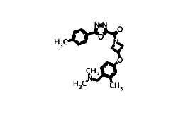 Cc1ccc(-c2nnc(C(=O)N3CC(Oc4ccc(CN(C)C)c(C)c4)C3)o2)cc1